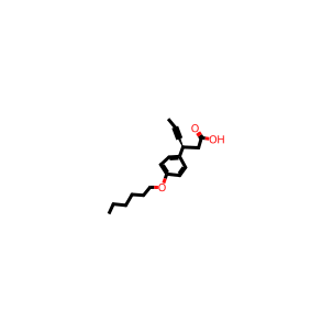 CC#C[C@@H](CC(=O)O)c1ccc(OCCCCCC)cc1